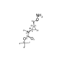 CN(C(=O)OC(C)(C)C)[C@@H]1C[C@@H]1CON